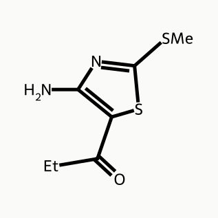 CCC(=O)c1sc(SC)nc1N